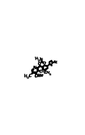 COc1c(C)cnc(C(OC(N)=O)c2cc(C)cc(-c3ccc(C(C)=O)s3)c2)c1C